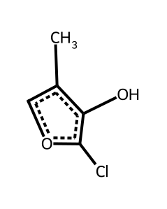 Cc1coc(Cl)c1O